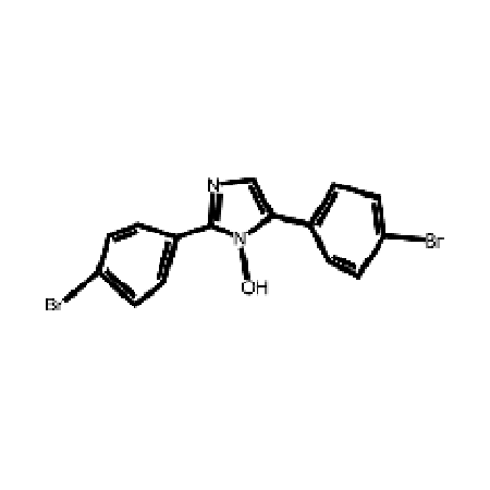 On1c(-c2ccc(Br)cc2)cnc1-c1ccc(Br)cc1